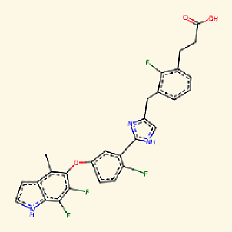 Cc1c(Oc2ccc(F)c(-c3nc(Cc4cccc(CCC(=O)O)c4F)c[nH]3)c2)c(F)c(F)c2[nH]ccc12